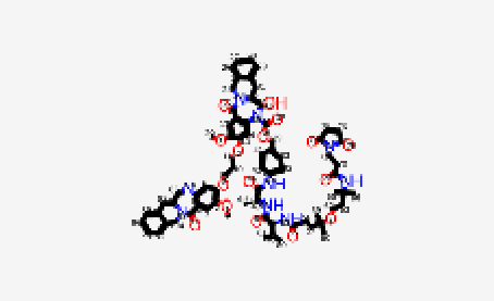 COc1cc2c(cc1OCCCOc1cc3c(cc1OC)C(=O)N1Cc4ccccc4CC1C(O)N3C(=O)OCc1ccc(NC(=O)[C@H](C)NC(=O)[C@@H](NC(=O)CCC(C)(C)OCCC(C)(C)NC(=O)CCN3C(=O)C=CC3=O)C(C)C)cc1)N=CC1Cc3ccccc3CN1C2=O